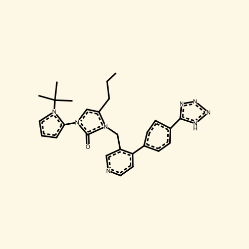 CCCc1cn(-c2cccn2C(C)(C)C)c(=O)n1Cc1cnccc1-c1ccc(-c2nnn[nH]2)cc1